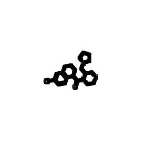 O=C(C1CCCc2cc(Cl)ccc21)N1CCSCC1CN1CCCC1